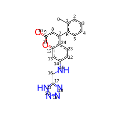 Cc1ccccc1-c1cc(=O)oc2cc(NCc3nnn[nH]3)ccc12